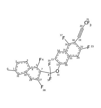 Cc1ccc2c(F)c(C(F)(F)Oc3ccc4c(F)c(C#CC(F)(F)F)c(F)cc4c3)c(F)cc2c1